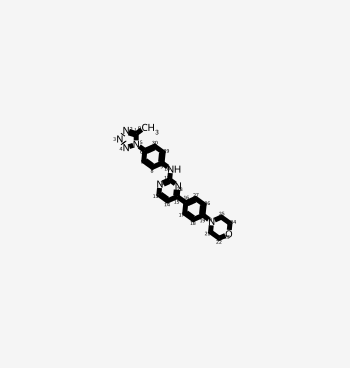 Cc1nnnn1-c1ccc(Nc2nccc(-c3ccc(N4CCOCC4)cc3)n2)cc1